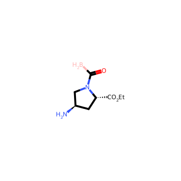 BC(=O)N1C[C@H](N)C[C@H]1C(=O)OCC